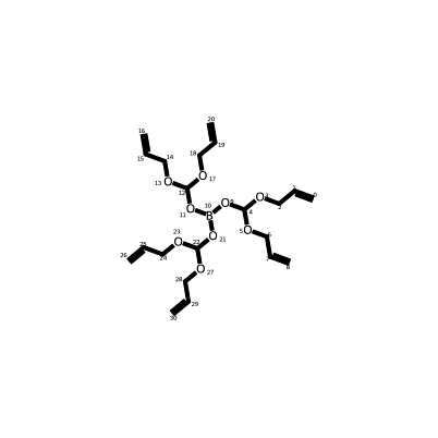 C=CCOC(OCC=C)OB(OC(OCC=C)OCC=C)OC(OCC=C)OCC=C